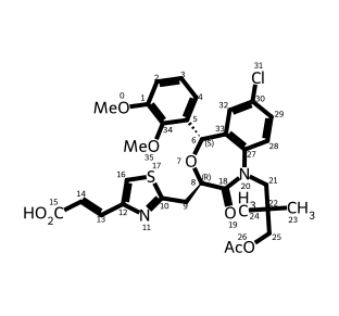 COc1cccc([C@H]2O[C@H](Cc3nc(C=CC(=O)O)cs3)C(=O)N(CC(C)(C)COC(C)=O)c3ccc(Cl)cc32)c1OC